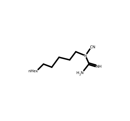 CCCCCCCCCCCN(C#N)C(=N)N